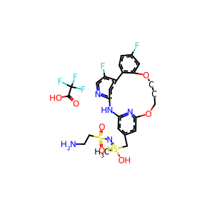 C[SH](O)(Cc1cc2nc(c1)OCCCOc1cc(F)ccc1-c1cc(ncc1F)N2)=NS(=O)(=O)CCN.O=C(O)C(F)(F)F